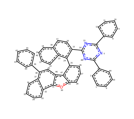 c1ccc(-c2nc(-c3ccccc3)nc(-c3ccc4ccccc4c3-c3cccc4oc5c6ccccc6c(-c6ccccc6)cc5c34)n2)cc1